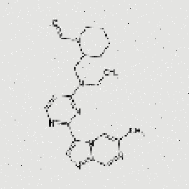 CCN(CC1CCCCN1C=O)c1ccnc(-c2cnc3cnc(C)cn23)n1